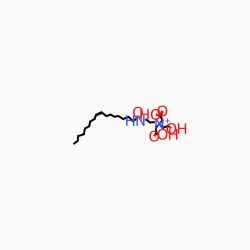 CCCCCCCC/C=C\CCCCCCCC(=O)NCCC[N+](CCO)(CC(=O)O)CC(=O)O